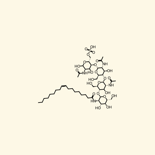 CCCCCCCC/C=C\CCCCCCCC(=O)N[C@H]1[C@@H](O[C@H]2C(O)[C@@H](NC(C)=O)[C@H](O[C@H]3[C@H](O)[C@@H](NC(C)=O)[C@@H](O[C@H]4C(O)[C@@H](NC(C)=O)C(O)O[C@@H]4COS(=O)(=O)O)O[C@@H]3CO)O[C@@H]2CO)O[C@H](CO)[C@@H](O)[C@@H]1O